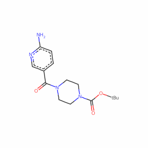 CC(C)(C)OC(=O)N1CCN(C(=O)c2ccc(N)nc2)CC1